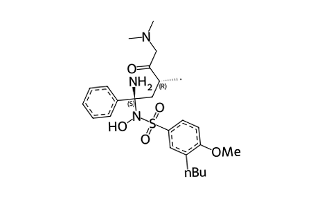 [CH2][C@H](C[C@@](N)(c1ccccc1)N(O)S(=O)(=O)c1ccc(OC)c(CCCC)c1)C(=O)CN(C)C